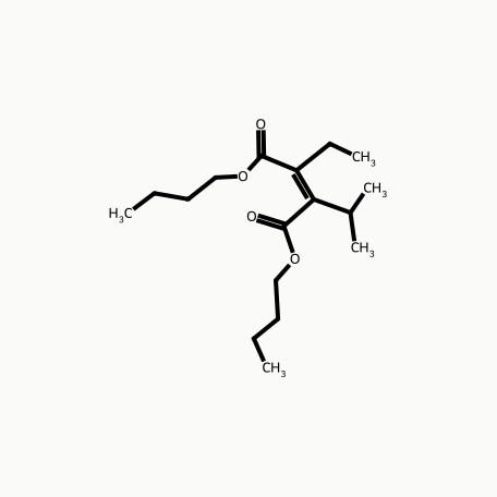 CCCCOC(=O)C(CC)=C(C(=O)OCCCC)C(C)C